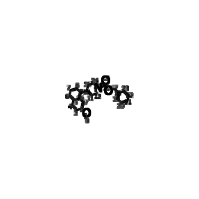 COc1ccc2cccc(C3=CCN(C(=O)OCc4ccccc4)CC3)c2c1